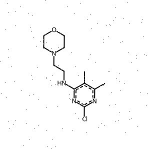 Cc1nc(Cl)nc(NCCN2CCOCC2)c1C